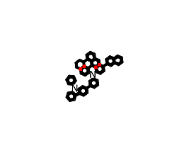 c1ccc(-n2c3ccccc3c3ccc(-c4cccc(N(c5ccc(-c6ccc7ccccc7c6)cc5)c5ccccc5-c5cccc6cccc(C7CCCCC7)c56)c4)cc32)cc1